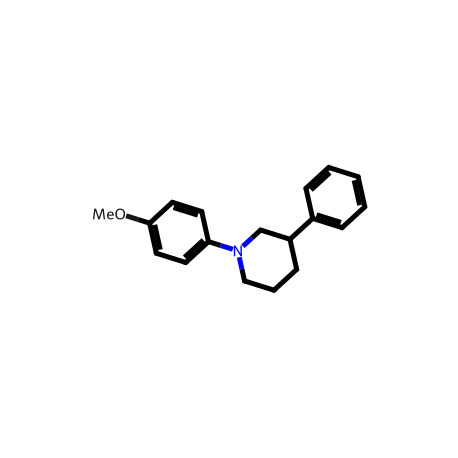 COc1ccc(N2CCCC(c3ccccc3)C2)cc1